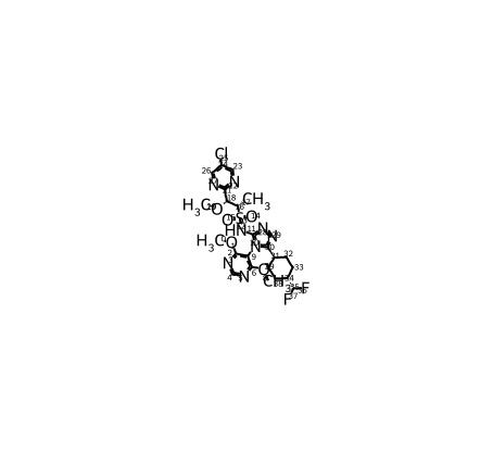 COc1ncnc(OC)c1-n1c(NS(=O)(=O)[C@@H](C)[C@H](OC)c2ncc(Cl)cn2)nnc1[C@H]1CC[C@H](C(F)F)CC1